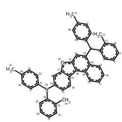 Cc1ccc(C(c2ccccc2C)c2cc3oc4cc(N(c5ccc(C)cc5)c5ccccc5C)ccc4c3c3ccccc23)cc1